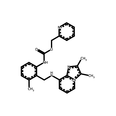 Cc1cccc(NC(=O)OCc2ccccn2)c1CNc1cccn2c(C)c(C)nc12